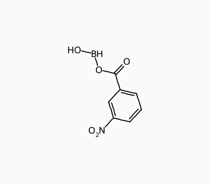 O=C(OBO)c1cccc([N+](=O)[O-])c1